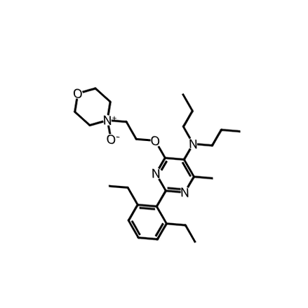 CCCN(CCC)c1c(C)nc(-c2c(CC)cccc2CC)nc1OCC[N+]1([O-])CCOCC1